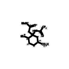 CNC(=O)CC1(NC(=O)C(F)(F)F)CN(C(=O)O)CCC1C(C)(C)C